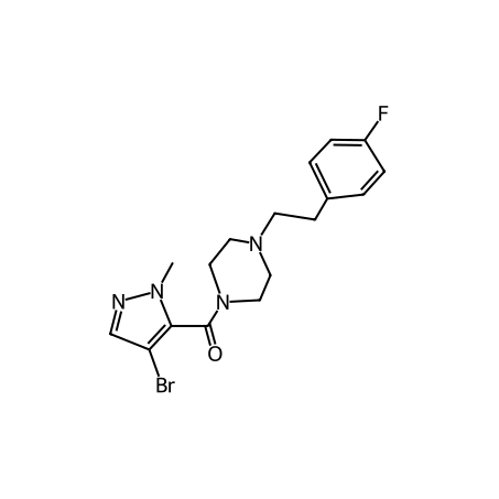 Cn1ncc(Br)c1C(=O)N1CCN(CCc2ccc(F)cc2)CC1